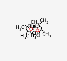 C=CCC(C=C(CC)C(=O)CC)(CC)CC.C=CCC(C=C(CC)C(=O)CC)CC